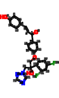 O=C(/C=C/c1ccc(O)cc1)c1ccc(OCC(O)(Cn2cncn2)c2ccc(F)cc2F)cc1